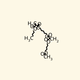 C=C(C(=O)OCCCCC)C(=O)OCCCCCOC(=O)C(=C)C(=O)OCCCCCOC(C)=O